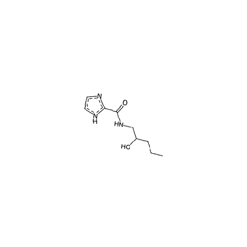 CCCC(O)CNC(=O)c1ncc[nH]1